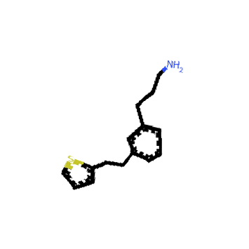 NCCCc1cccc(CCc2cccs2)c1